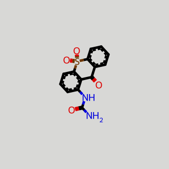 NC(=O)Nc1cccc2c1C(=O)c1ccccc1S2(=O)=O